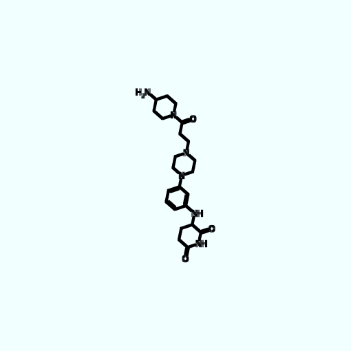 NC1CCN(C(=O)CCN2CCN(c3cccc(NC4CCC(=O)NC4=O)c3)CC2)CC1